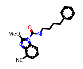 COc1nc2c(C#N)cccc2n1C(=O)NCCCCc1ccccc1